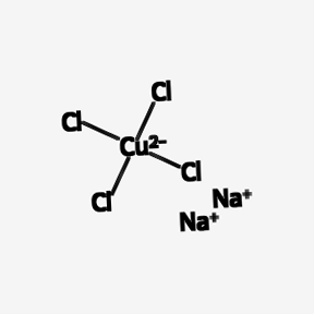 [Cl][Cu-2]([Cl])([Cl])[Cl].[Na+].[Na+]